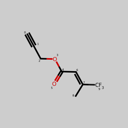 C#CCOC(=O)/C=C(\C)C(F)(F)F